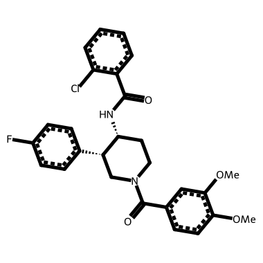 COc1ccc(C(=O)N2CC[C@@H](NC(=O)c3ccccc3Cl)[C@@H](c3ccc(F)cc3)C2)cc1OC